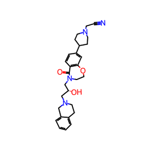 N#CCN1CCC(c2ccc3c(c2)OCCN(C[C@H](O)CN2CCc4ccccc4C2)C3=O)CC1